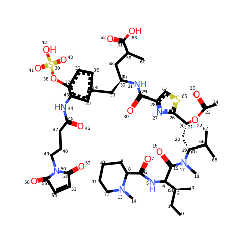 CC[C@H](C)C(NC(=O)C1CCCCN1C)C(=O)N(C)[C@H](C[C@@H](OC(C)=O)c1nc(C(=O)N[C@@H](Cc2ccc(OS(=O)(=O)O)c(NC(=O)CCCN3C(=O)C=CC3=O)c2)CC(C)C(=O)O)cs1)C(C)C